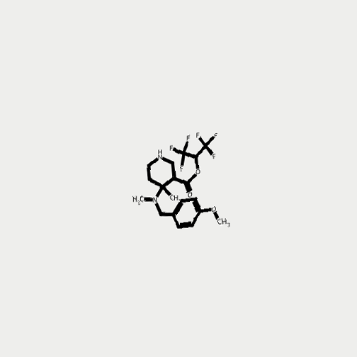 COc1ccc(CN(C)C2(C)CCNCC2C(=O)OC(C(F)(F)F)C(F)(F)F)cc1